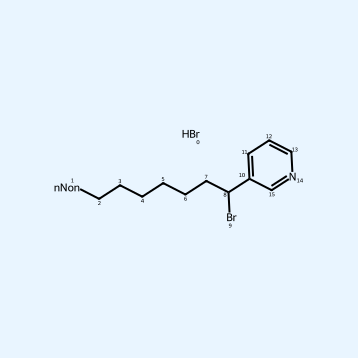 Br.CCCCCCCCCCCCCCCC(Br)c1cccnc1